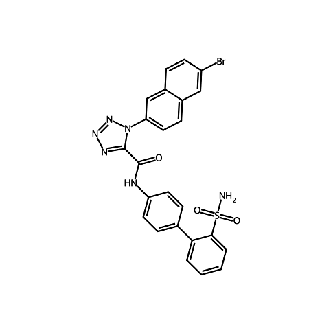 NS(=O)(=O)c1ccccc1-c1ccc(NC(=O)c2nnnn2-c2ccc3cc(Br)ccc3c2)cc1